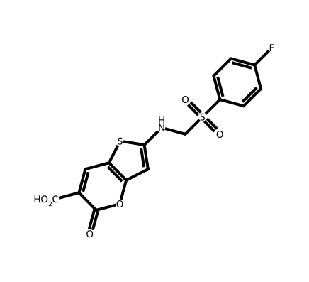 O=C(O)c1cc2sc(NCS(=O)(=O)c3ccc(F)cc3)cc2oc1=O